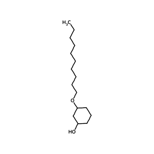 CCCCCCCCCCOC1CCCC(O)C1